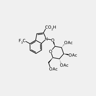 CC(=O)OC[C@H]1O[C@@H](On2c(C(=O)O)cc3c(C(F)(F)F)cccc32)[C@H](OC(C)=O)[C@@H](OC(C)=O)[C@@H]1OC(C)=O